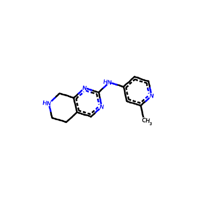 Cc1cc(Nc2ncc3c(n2)CNCC3)ccn1